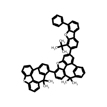 CC(C)(C)c1c(-c2cc3c4c(c2)oc2c(-c5ccc6cc5C(C)(C)c5cccc7sc8cccc-6c8c57)ccc(c24)C(C)(C)c2cccc-3c2)ccc2c1oc1c(-c3ccccc3)cccc12